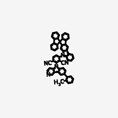 Cc1ccccc1-c1ccc2c(c1)c1cnccc1n2-c1c(C#N)ccc(-n2c3ccccc3c3cc4c(cc32)C2(c3ccccc3-c3ccccc32)c2ccccc2-4)c1C#N